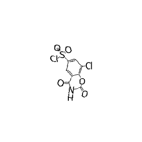 O=c1[nH]c(=O)c2cc(S(=O)(=O)Cl)cc(Cl)c2o1